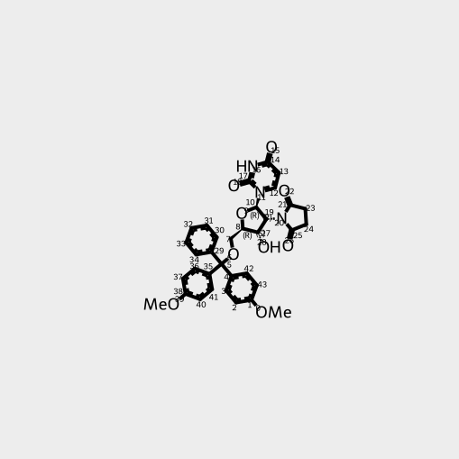 COc1ccc(C(OC[C@H]2O[C@@H](n3ccc(=O)[nH]c3=O)[C@H](N3C(=O)CCC3=O)[C@@H]2O)(c2ccccc2)c2ccc(OC)cc2)cc1